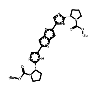 CC(C)(C)OC(=O)N1CCC[C@H]1c1ncc(-c2cc3sc(-c4cnc([C@@H]5CCCN5C(=O)OC(C)(C)C)[nH]4)cc3s2)[nH]1